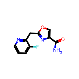 NC(=O)c1coc(Cc2ncccc2F)n1